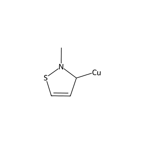 CN1SC=C[CH]1[Cu]